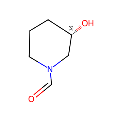 O=CN1CCC[C@H](O)C1